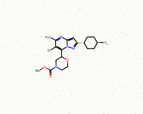 CCc1c(C)nc2cc([C@H]3CC[C@H](C(F)(F)F)CC3)nn2c1C1CN(C(=O)OC(C)(C)C)CCO1